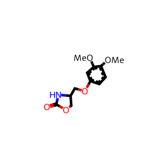 COc1ccc(OCC2COC(=O)N2)cc1OC